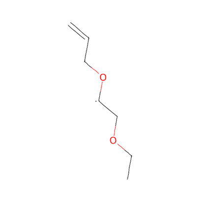 C=CCO[CH]COCC